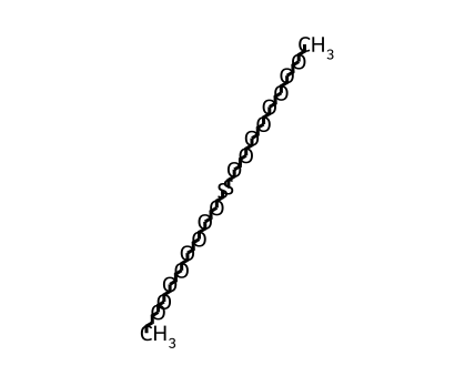 CCCCOCOCCOCCOCCOCCOCCOCCOCCSSCCOCCOCCOCCOCCOCCOCCOCCOCCC